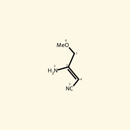 COCC(N)=CC#N